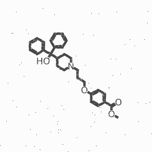 COC(=O)c1ccc(OCCCN2CCC(C(O)(c3ccccc3)c3ccccc3)CC2)cc1